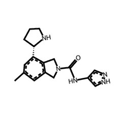 Cc1cc2c(c([C@@H]3CCCN3)c1)CN(C(=O)Nc1cn[nH]c1)C2